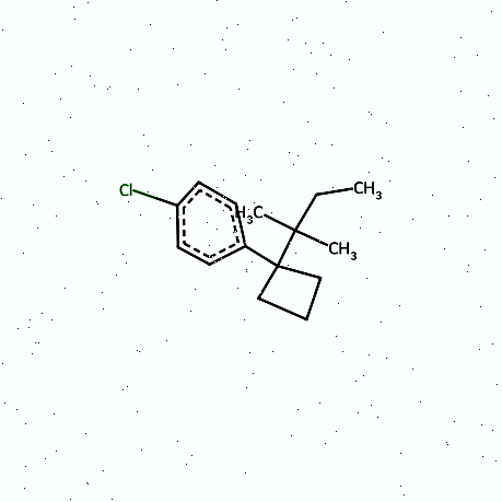 CCC(C)(C)C1(c2ccc(Cl)cc2)CCC1